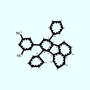 N#Cc1cc(C#N)cc(-c2cc(-c3ccccc3)c3c(c2-c2ccccc2)-c2cccc4cccc-3c24)c1